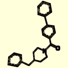 O=C(c1ccc(-c2ccccc2)cc1)N1CCC(Cc2ccccc2)CC1